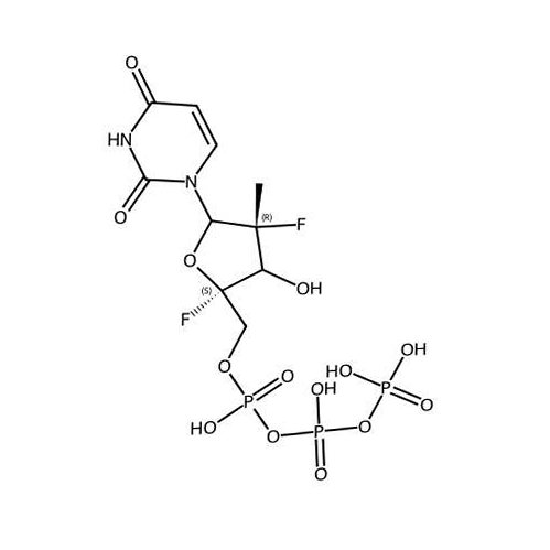 C[C@]1(F)C(n2ccc(=O)[nH]c2=O)O[C@](F)(COP(=O)(O)OP(=O)(O)OP(=O)(O)O)C1O